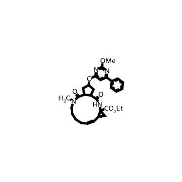 CCOC(=O)C12CC1C=CCCCCN(C)C(=O)C1CC(Oc3cc(-c4ccccc4)nc(OC)n3)CC1C(=O)N2